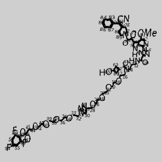 COc1cnc(-n2cnc(C(=O)NCCCN(CCOCCOCCOCCOCc3cn(CCOCCOCCOCCOCCC(=O)Oc4c(F)cc(F)cc4F)nn3)C(=O)[C@H]3C[C@H](O)C3)n2)c2[nH]cc(C(=O)C(=O)N3CCC(=C(C#N)c4ccccc4)CC3)c12